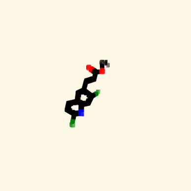 COC(=O)/C=C/c1cc2ccc(Cl)nc2cc1F